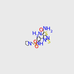 CSc1nc(-c2cccc(NS(=O)(=O)CCN3CCCCC3)c2)c2c(N)c(C(N)=O)sc2n1